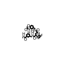 CNC(=O)c1cccc(CNC(=O)c2cc(C(=O)NCc3ccc4c(c3)NC(=O)CO4)nc3c(F)cnn23)c1